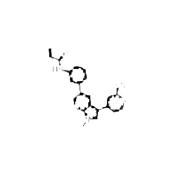 C=CC(=O)Nc1cccc(-c2cnc3c(c2)c(-c2ccnc(C#N)c2)cn3C)c1